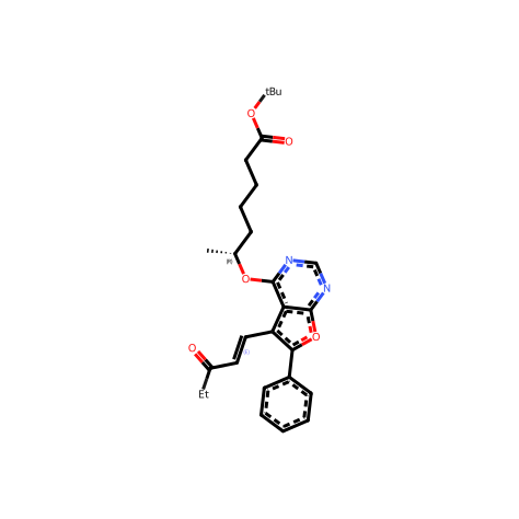 CCC(=O)/C=C/c1c(-c2ccccc2)oc2ncnc(O[C@H](C)CCCCC(=O)OC(C)(C)C)c12